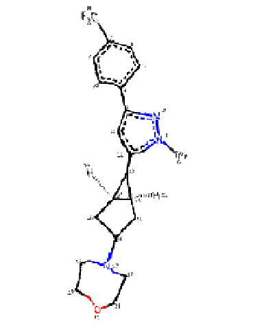 CC(C)n1nc(-c2ccc(C(F)(F)F)cc2)cc1C1[C@H]2CC(N3CCOCC3)C[C@@H]12